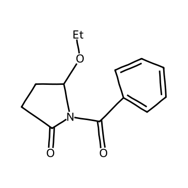 CCOC1CCC(=O)N1C(=O)c1ccccc1